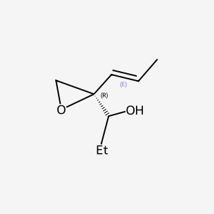 C/C=C/[C@]1(C(O)CC)CO1